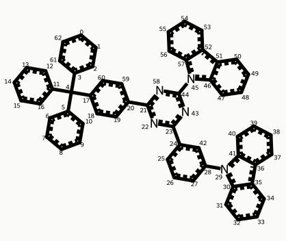 c1ccc(C(c2ccccc2)(c2ccccc2)c2ccc(-c3nc(-c4cccc(-n5c6ccccc6c6ccccc65)c4)nc(-n4c5ccccc5c5ccccc54)n3)cc2)cc1